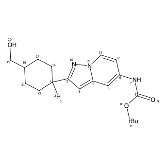 [2H]C1(c2cc3cc(NC(=O)OC(C)(C)C)ccn3n2)CCC(CO)CC1